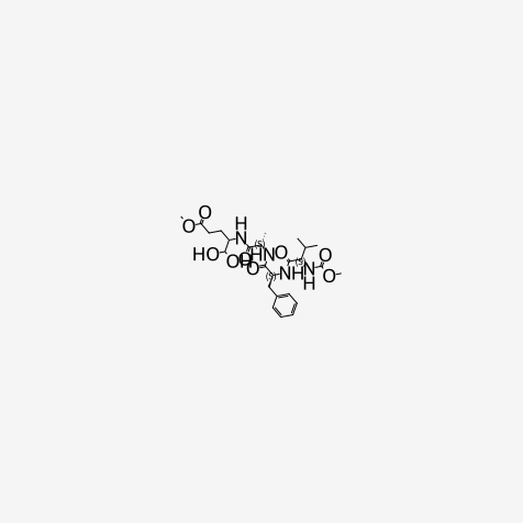 COC(=O)CCC(NC(=O)[C@H](C)NC(=O)[C@H](Cc1ccccc1)NC(=O)[C@@H](NC(=O)OC)C(C)C)C(O)O